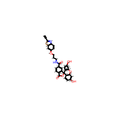 C#Cc1nc2ccc(OCCCNC(=O)c3ccc4c(c3)C3(OC4=O)c4ccc(O)cc4Oc4cc(O)ccc43)cc2s1